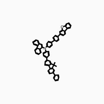 CC1(C)c2cc(-c3ccccc3)ccc2-c2ccc(-c3ccc(N(c4ccc(-c5ccc(-c6ccc7c(c6)oc6ccccc67)cc5)cc4)c4cc5ccccc5c5ccccc45)cc3)cc21